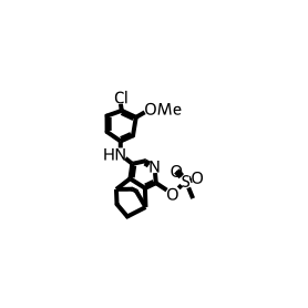 COc1cc(Nc2cnc(OS(C)(=O)=O)c3c2C2CCC3CC2)ccc1Cl